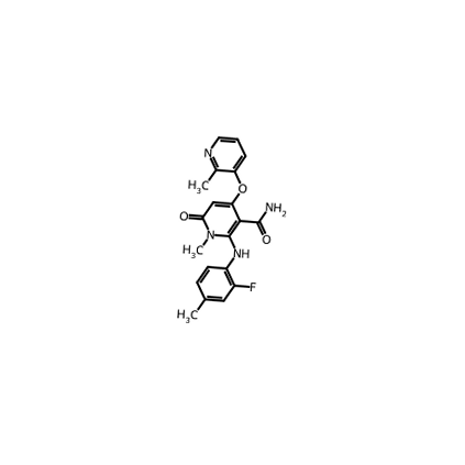 Cc1ccc(Nc2c(C(N)=O)c(Oc3cccnc3C)cc(=O)n2C)c(F)c1